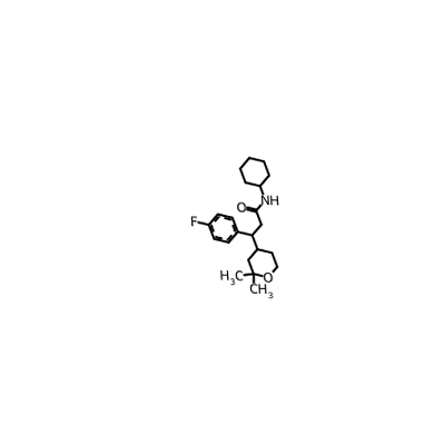 CC1(C)CC(C(CC(=O)NC2CCCCC2)c2ccc(F)cc2)CCO1